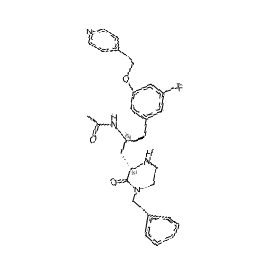 CC(=O)N[C@@H](Cc1cc(F)cc(OCc2ccncc2)c1)C[C@@H]1NCCN(Cc2ccccc2)C1=O